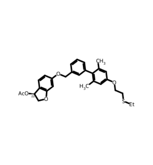 CCSCCOc1cc(C)c(-c2cccc(COc3ccc4c(c3)OC[C@H]4OC(C)=O)c2)c(C)c1